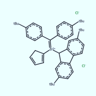 CC(C)(C)c1ccc([C](c2ccc(C(C)(C)C)cc2)=[Zr+2]([C]2=CC=CC2)[CH]2c3cc(C(C)(C)C)ccc3-c3ccc(C(C)(C)C)cc32)cc1.[Cl-].[Cl-]